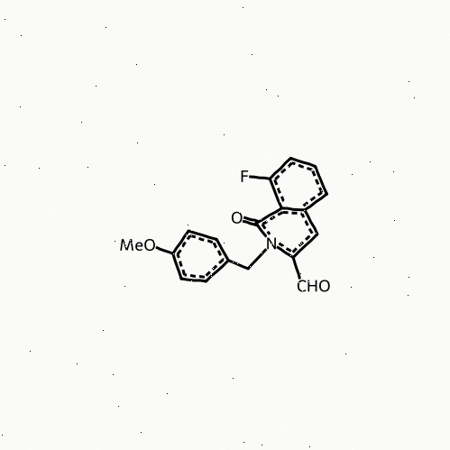 COc1ccc(Cn2c(C=O)cc3cccc(F)c3c2=O)cc1